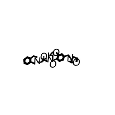 O=C1c2ccc(CN3CC4CC3CO4)cc2OCCN1C[C@H](O)CN1CCc2ccccc2C1